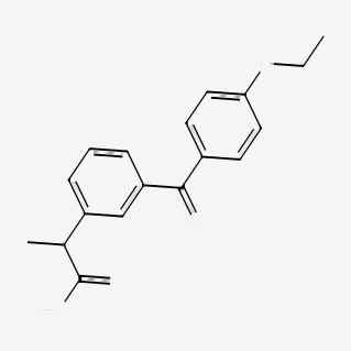 CCOc1ccc(C(=O)c2cccc(C(C)C(=O)O)c2)cc1